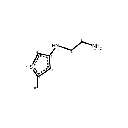 Cc1cc(NCCN)cs1